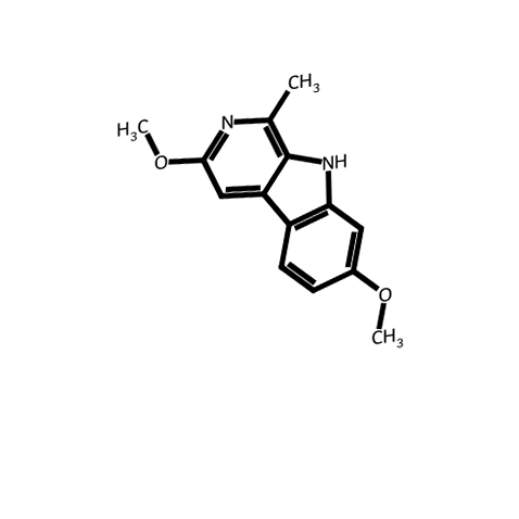 COc1ccc2c(c1)[nH]c1c(C)nc(OC)cc12